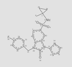 CC1(NS(=O)(=O)c2ccc3c(c2)n(-c2nccs2)c(=O)n3Cc2ccc(F)cc2)CC1